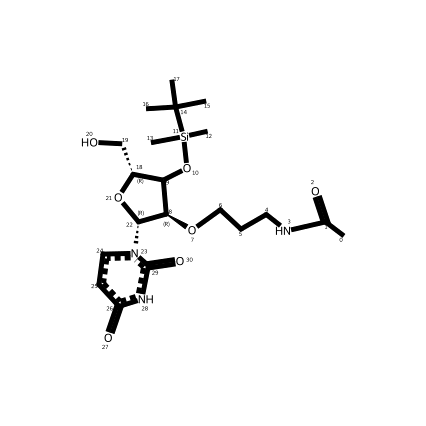 CC(=O)NCCCO[C@@H]1C(O[Si](C)(C)C(C)(C)C)[C@@H](CO)O[C@H]1n1ccc(=O)[nH]c1=O